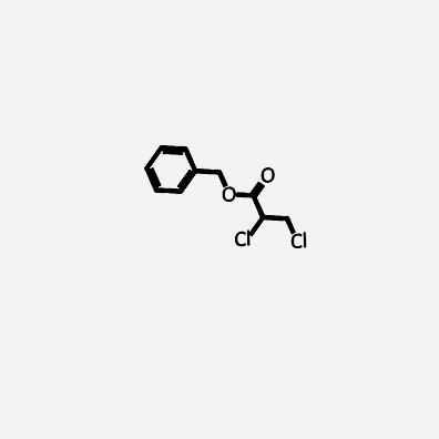 O=C(OCc1ccccc1)C(Cl)CCl